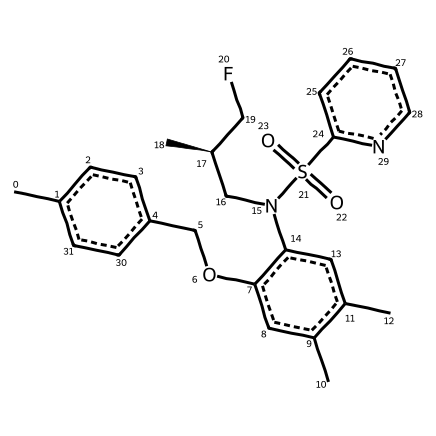 Cc1ccc(COc2cc(C)c(C)cc2N(C[C@@H](C)CF)S(=O)(=O)c2ccccn2)cc1